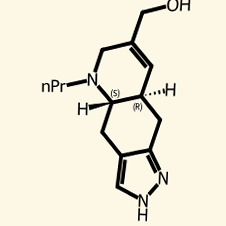 CCCN1CC(CO)=C[C@H]2Cc3n[nH]cc3C[C@@H]21